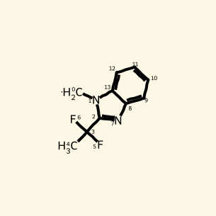 [CH2]n1c(C(C)(F)F)nc2ccccc21